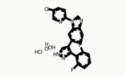 Cl.Cl.Cl.Fc1cccc(F)c1-c1n[nH]cc1-c1ccc2ncn(-c3ccc(Cl)cn3)c2c1